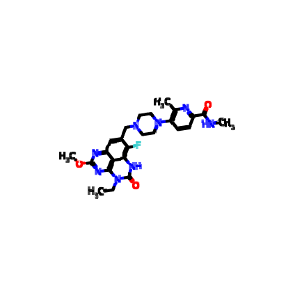 CCN1C(=O)Nc2c(F)c(CN3CCN(c4ccc(C(=O)NC)nc4C)CC3)cc3nc(OC)nc1c23